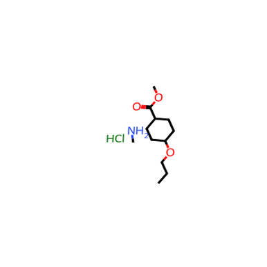 CCCOC1CCC(C(=O)OC)CC1.CN.Cl